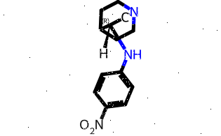 O=[N+]([O-])c1ccc(N[C@H]2CN3CCC2CC3)cc1